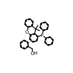 CC1(C)c2ccccc2Oc2cccc(P(c3ccccc3)c3ccccc3)c21.OCc1ccccc1